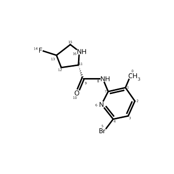 Cc1ccc(Br)nc1NC(=O)[C@@H]1CC(F)CN1